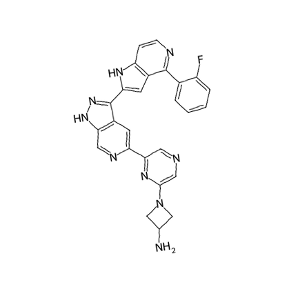 NC1CN(c2cncc(-c3cc4c(-c5cc6c(-c7ccccc7F)nccc6[nH]5)n[nH]c4cn3)n2)C1